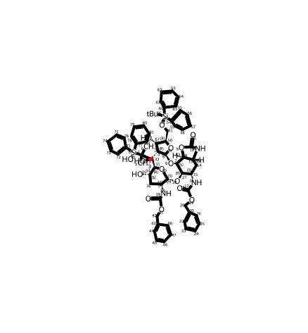 CC(C)(C[C@H]1[C@H](O[C@@H]2[C@H]3OC(=O)N[C@@H]3C[C@H](NC(=O)OCc3ccccc3)[C@H]2O[C@H]2O[C@H](CO)[C@@H](O)C[C@H]2NC(=O)OCc2ccccc2)O[C@H](CO[Si](c2ccccc2)(c2ccccc2)C(C)(C)C)[C@H]1O)[Si](O)(c1ccccc1)c1ccccc1